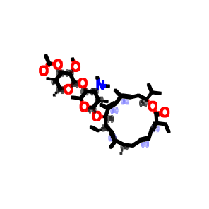 CC/C1=C\C=C\C[C@H](C)/C(C)=C/[C@H](CC)[C@@H](O[C@@H]2OC(C)[C@@H](O[C@@H]3O[C@H](C)[C@@H](C)[C@H](OC(C)=O)[C@H]3OC)[C@H](N(C)C)[C@H]2C)/C(C)=C/C(C)=C/C[C@@H](C(C)C)OC1=O